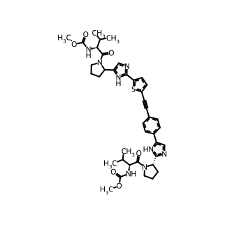 COC(=O)N[C@H](C(=O)N1CCCC1c1cnc(-c2ccc(C#Cc3ccc(-c4cnc([C@@H]5CCCN5C(=O)[C@@H](NC(=O)OC)C(C)C)[nH]4)cc3)s2)[nH]1)C(C)C